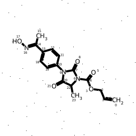 C=CCOC(=O)N1C(=O)N(c2ccc(C(C)=NO)cc2)C(=O)C1C